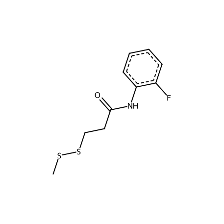 CSSCCC(=O)Nc1ccccc1F